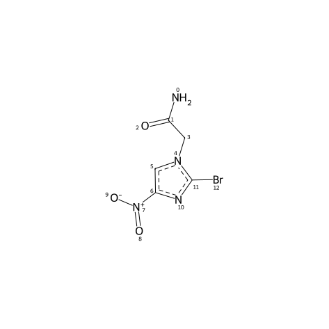 NC(=O)Cn1cc([N+](=O)[O-])nc1Br